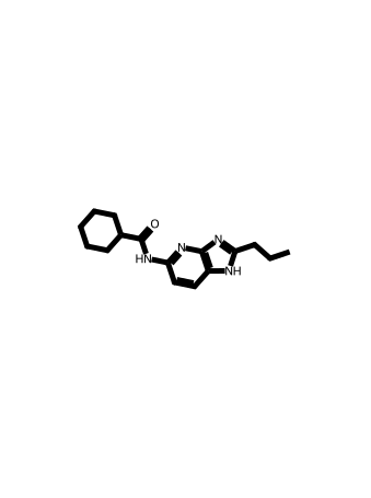 CCCc1nc2nc(NC(=O)C3CCCCC3)ccc2[nH]1